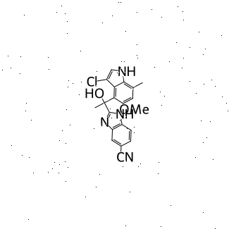 COc1cc(C)c2[nH]cc(Cl)c2c1C(C)(O)c1nc2cc(C#N)ccc2[nH]1